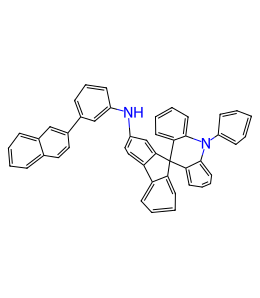 c1ccc(N2c3ccccc3C3(c4ccccc4-c4ccc(Nc5cccc(-c6ccc7ccccc7c6)c5)cc43)c3ccccc32)cc1